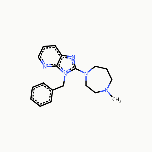 CN1CCCN(c2nc3cccnc3n2Cc2ccccc2)CC1